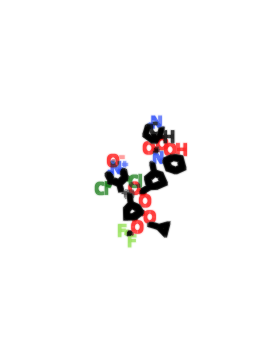 O=C(O[C@@H](Cc1c(Cl)c[n+]([O-])cc1Cl)c1ccc(OC(F)F)c(OCC2CC2)c1)c1cccc(CN(C(=O)O[C@H]2CN3CCC2CC3)c2ccccc2O)c1